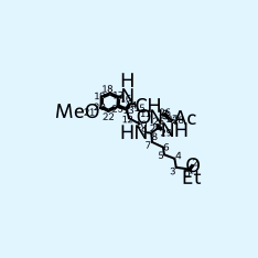 CCC(=O)CCCCCC(NC(=O)Cc1c(C)[nH]c2ccc(OC)cc12)c1ncc(C(C)=O)[nH]1